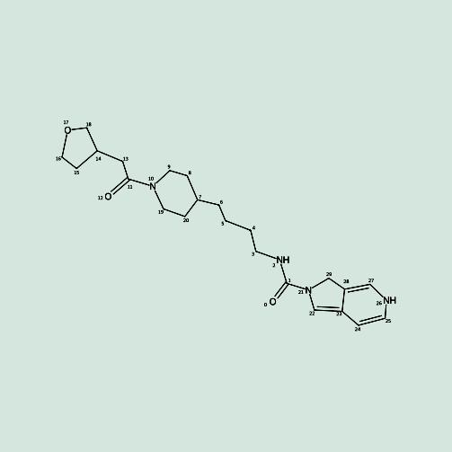 O=C(NCCCCC1CCN(C(=O)CC2CCOC2)CC1)N1C=C2C=CNC=C2C1